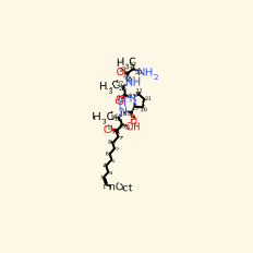 CCCCCCCC/C=C\CCCCCCCC(=O)C(O)[C@H](C)NC(=O)[C@@H]1CCCN1C(=O)[C@H](C)NC(=O)[C@H](C)N